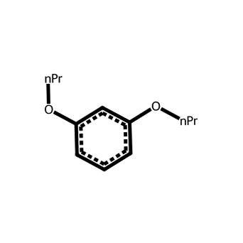 CCCOc1cccc(OCCC)c1